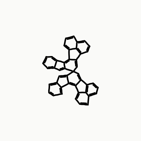 C1=C2C(=C3C(=Cc4ccccc43)C13C=C1C(=C4C3=Cc3ccccc34)c3cccc4cccc1c34)c1cccc3cccc2c13